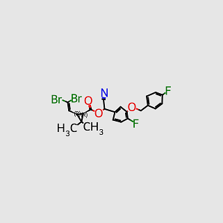 CC1(C)[C@H](C(=O)OC(C#N)c2ccc(F)c(OCc3ccc(F)cc3)c2)[C@@H]1C=C(Br)Br